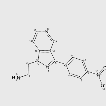 NCCn1nc(-c2ccc([N+](=O)[O-])cc2)c2cnccc21